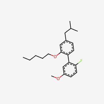 CCCCCOc1cc(CC(C)C)ccc1-c1cc(OC)ccc1F